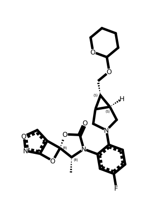 C[C@H]1N(c2cc(F)ccc2N2CC3[C@H](COC4CCCCO4)[C@H]3C2)C(=O)O[C@@]12Oc1nocc12